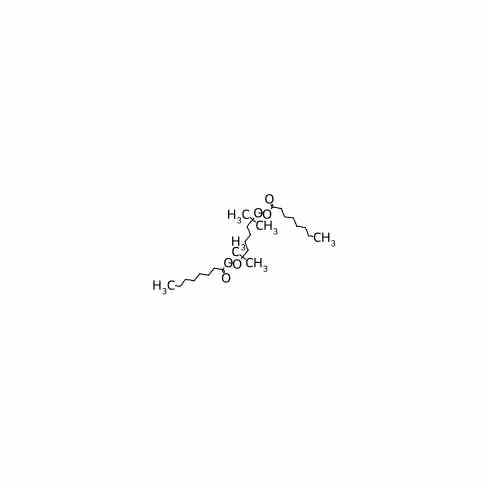 CCCCCCCC(=O)OOC(C)(C)CCCCC(C)(C)OOC(=O)CCCCCCC